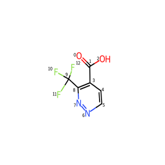 O=C(O)c1ccnnc1C(F)(F)F